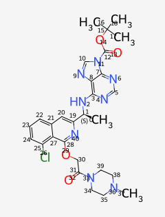 C[C@H](Nc1ncnc2c1ncn2C(=O)OC(C)(C)C)c1cc2cccc(Cl)c2c(OCC(=O)N2CCN(C)CC2)n1